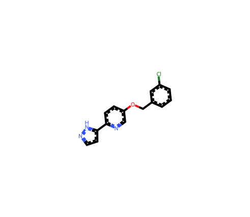 Clc1cccc(COc2ccc(-c3ccn[nH]3)nc2)c1